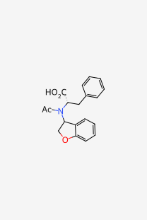 CC(=O)N(C1COc2ccccc21)[C@@H](Cc1ccccc1)C(=O)O